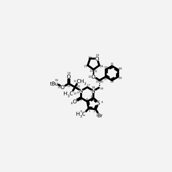 Cc1c(Br)sc2c1C(=O)N(C(C)(C)C(=O)OC(C)(C)C)CN2C[C@H](O[C@H]1CCOC1)c1ccccc1